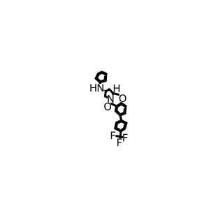 O=C1c2cc(-c3ccc(C(F)(F)F)cc3)ccc2OC[C@@H]2C[C@@H](Nc3ccccc3)CN12